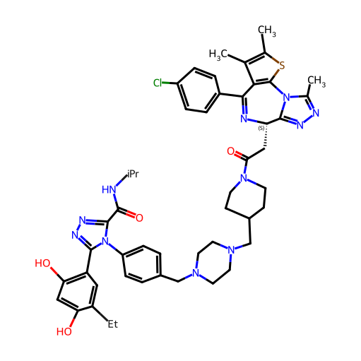 CCc1cc(-c2nnc(C(=O)NC(C)C)n2-c2ccc(CN3CCN(CC4CCN(C(=O)C[C@@H]5N=C(c6ccc(Cl)cc6)c6c(sc(C)c6C)-n6c(C)nnc65)CC4)CC3)cc2)c(O)cc1O